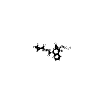 O=C(NNC(=O)[C@@H]1c2ncccc2[C@@H]2CN1C(=O)N2OS(=O)(=O)O)C1CC1(F)F